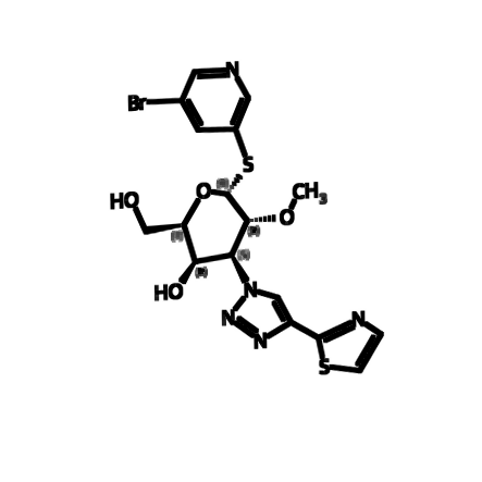 CO[C@@H]1[C@@H](n2cc(-c3nccs3)nn2)[C@@H](O)[C@@H](CO)O[C@@H]1Sc1cncc(Br)c1